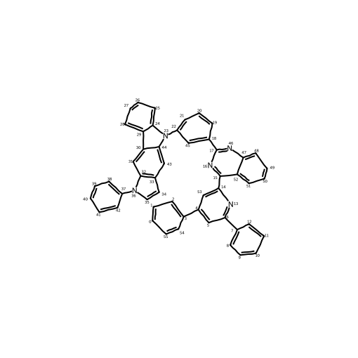 c1ccc(-c2cc(-c3ccccc3)nc(-c3nc(-c4cccc(-n5c6ccccc6c6cc7c(ccn7-c7ccccc7)cc65)c4)nc4ccccc34)c2)cc1